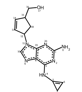 Nc1nc(NC2=CC2)c2ncn(C3C=CC(CO)C3)c2n1